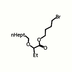 CCCCCCCCOC(CC)C(=O)OCCCCBr